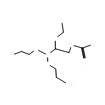 CCCO[SiH](OCCC)C(CNC(N)=O)OCC